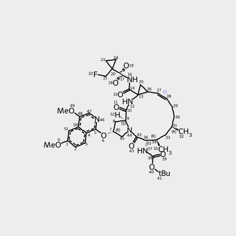 COc1ccc2c(O[C@@H]3C[C@H]4C(=O)NC5(C(=O)NS(=O)(=O)C6(CF)CC6)CC5/C=C\CC[C@@H](C)C[C@@H](C)[C@H](NC(=O)OC(C)(C)C)C(=O)N4C3)ncc(OC)c2c1